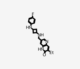 CCc1cc2ncc(CNC3CC(Nc4ccc(F)cc4)C3)cc2[nH]c1=O